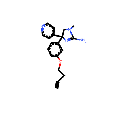 C#CCCOc1cccc(C2(c3ccncc3)CN(C)C(N)=N2)c1